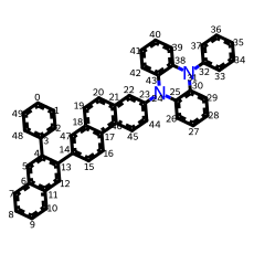 c1ccc(-c2cc3ccccc3cc2-c2ccc3c(ccc4cc(N5c6ccccc6N(c6ccccc6)c6ccccc65)ccc43)c2)cc1